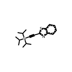 CC(C)[Si](C#Cc1nc2ccccc2s1)(C(C)C)C(C)C